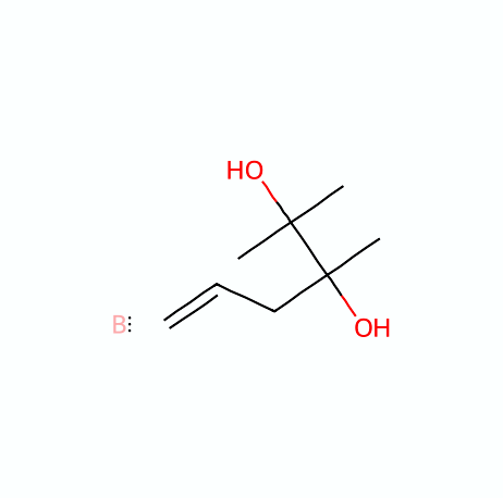 C=CCC(C)(O)C(C)(C)O.[B]